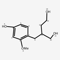 COc1cc(O)ccc1CC(CO)CCO